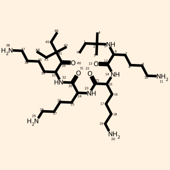 CCC(C)(C)NC(CCCCN)C(=O)NC(CCCCN)C(=O)NC(CCCCN)C(=O)NC(CCCCN)C(=O)C(C)(CC)CC